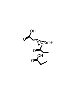 CCC(=O)O.CCC(=O)O.CCC(=O)O.CC[CH2][SnH]